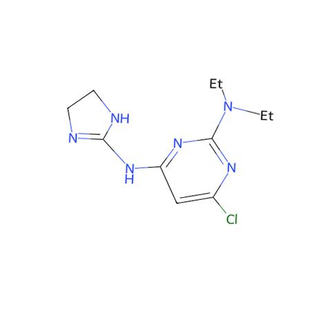 CCN(CC)c1nc(Cl)cc(NC2=NCCN2)n1